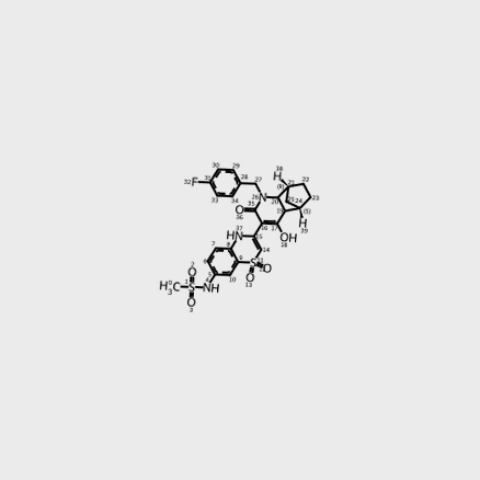 CS(=O)(=O)Nc1ccc2c(c1)S(=O)(=O)C=C(C1=C(O)C3C([C@@H]4CC[C@H]3C4)N(Cc3ccc(F)cc3)C1=O)N2